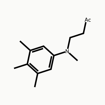 CC(=O)CCN(C)c1cc(C)c(C)c(C)c1